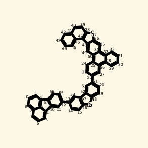 c1cc2c3c(cccc3c1)-c1cc(-c3ccc4sc5ccc(-c6ccc7c(c6)c6ccccc6c6cc8sc9ccc%10ccccc%10c9c8cc76)cc5c4c3)ccc1-2